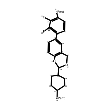 CCCCCc1ccc(-c2ccc3c(c2)COC(C2CCC(CCCCC)CC2)O3)c(F)c1F